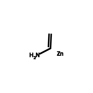 C=CN.[Zn]